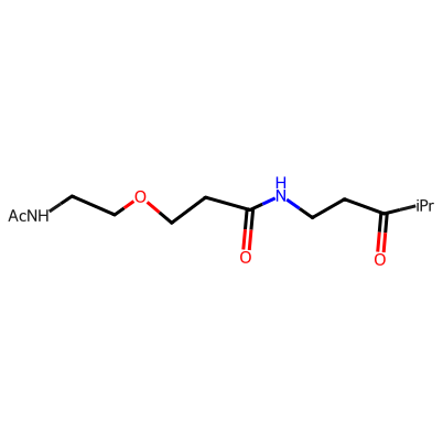 CC(=O)NCCOCCC(=O)NCCC(=O)C(C)C